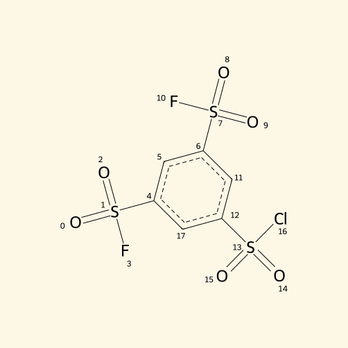 O=S(=O)(F)c1cc(S(=O)(=O)F)cc(S(=O)(=O)Cl)c1